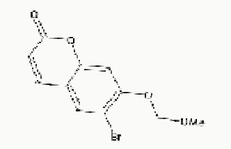 COCOc1cc2oc(=O)c[c]c2cc1Br